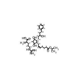 CC(C)OC(=O)CCC/C=C\C[C@@H]1[C@@H](CC[C@@H](O)CCc2ccccc2)[C@H](O)C[C@@H]1O.N=C(N)NCCC[C@H](N)C(=O)O